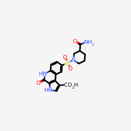 NC(=O)C1CCCN(S(=O)(=O)c2ccc3[nH]c(=O)c4[nH]cc(C(=O)O)c4c3c2)C1